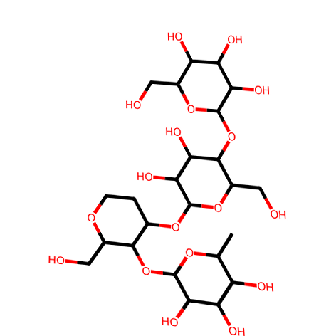 CC1OC(OC2C(CO)OCCC2OC2OC(CO)C(OC3OC(CO)C(O)C(O)C3O)C(O)C2O)C(O)C(O)C1O